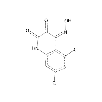 O=C1Nc2cc(Cl)cc(Cl)c2C(=NO)C1=O